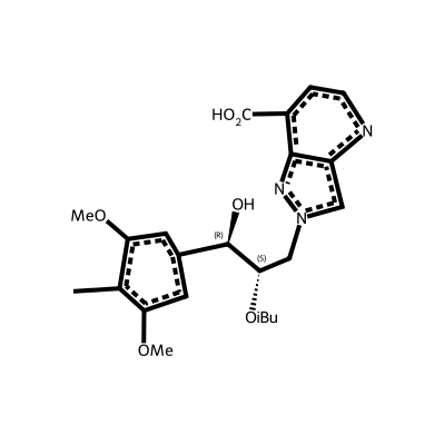 COc1cc([C@@H](O)[C@H](Cn2cc3nccc(C(=O)O)c3n2)OCC(C)C)cc(OC)c1C